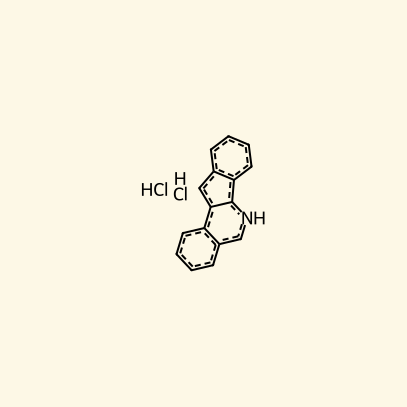 Cl.Cl.c1ccc2c3cc4ccccc4c-3[nH]cc2c1